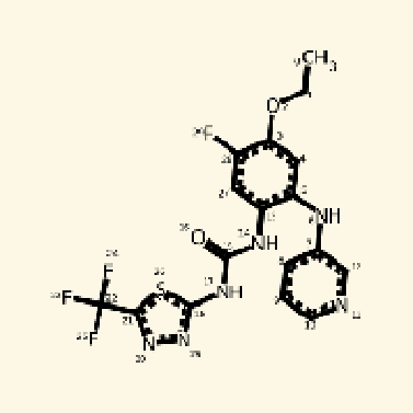 CCOc1cc(Nc2cccnc2)c(NC(=O)Nc2nnc(C(F)(F)F)s2)cc1F